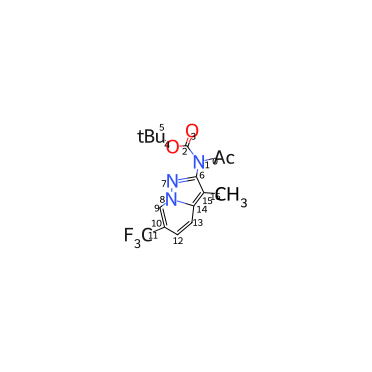 CC(=O)N(C(=O)OC(C)(C)C)c1nn2cc(C(F)(F)F)ccc2c1C